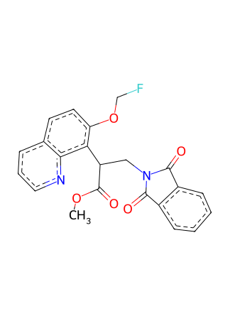 COC(=O)C(CN1C(=O)c2ccccc2C1=O)c1c(OCF)ccc2cccnc12